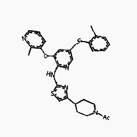 CC(=O)N1CCC(c2csc(Nc3ncc(Sc4ccccc4C)cc3Oc3cccnc3C)n2)CC1